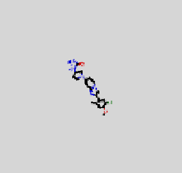 COc1cc(C)c(-c2cn3ccc(N4CCC(NC(N)=O)C4)cc3n2)cc1Cl